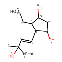 CCCCCC(C)(O)C=CC1C(O)CC(O)C1CC(=O)O